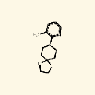 Cc1cccnc1N1CCC2(CC1)OCCO2